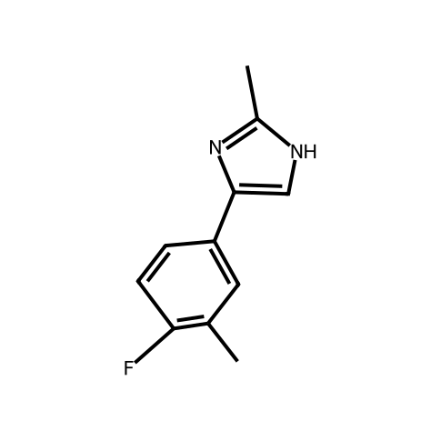 Cc1nc(-c2ccc(F)c(C)c2)c[nH]1